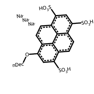 CCCCCCCCCCOc1cc(S(=O)(=O)O)c2ccc3c(S(=O)(=O)O)cc(S(=O)(=O)O)c4ccc1c2c43.[Na].[Na].[Na]